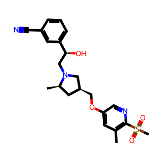 Cc1cc(OC[C@H]2C[C@@H](C)N(C[C@H](O)c3cccc(C#N)c3)C2)cnc1S(C)(=O)=O